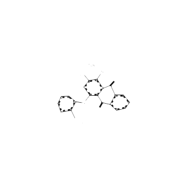 Cc1ccccc1Nc1cc(S(=O)(=O)O)c(N)c2c1C(=O)c1ccccc1C2=O.[NaH]